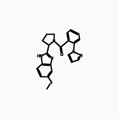 CSc1ccc2[nH]c(C3CCCN3C(=O)c3ccccc3-n3cccn3)nc2c1